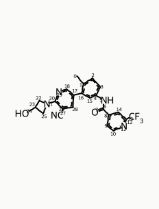 Cc1ccc(NC(=O)c2ccnc(C(F)(F)F)c2)cc1-c1cnc(N2CC(O)C2)c(C#N)c1